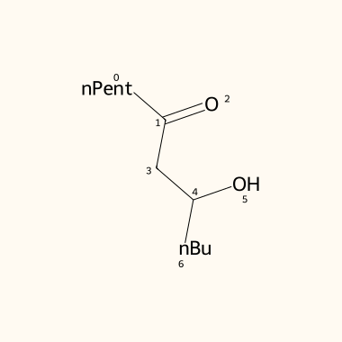 CCCCCC(=O)CC(O)CCCC